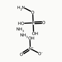 N.N.NOP(=O)(O)O.O=[N+]([O-])O